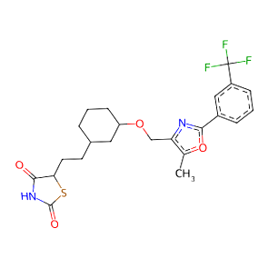 Cc1oc(-c2cccc(C(F)(F)F)c2)nc1COC1CCCC(CCC2SC(=O)NC2=O)C1